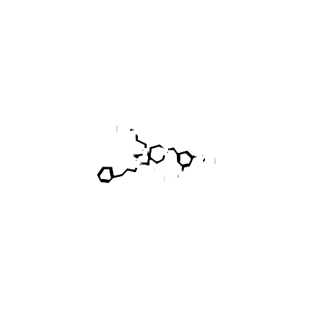 COCCN1C(=O)N(CCCc2ccccc2)C(=O)C12CCN(Cc1cc(OC)cc(OC)c1)CC2